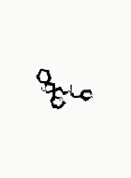 c1ccc(C2(CCNCc3ccsc3)COC3(CCCCC3)C2)nc1